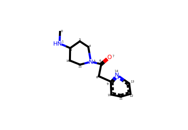 CNC1CCN(C(=O)Cc2ccccn2)CC1